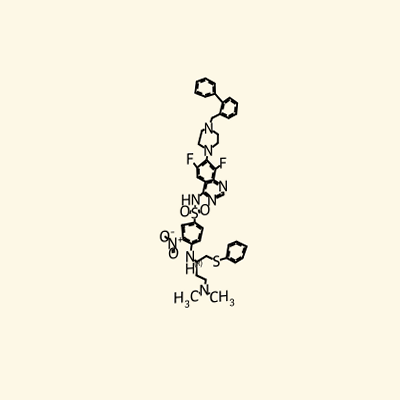 CN(C)CC[C@H](CSc1ccccc1)Nc1ccc(S(=O)(=O)Nc2ncnc3c(F)c(N4CCN(Cc5ccccc5-c5ccccc5)CC4)c(F)cc23)cc1[N+](=O)[O-]